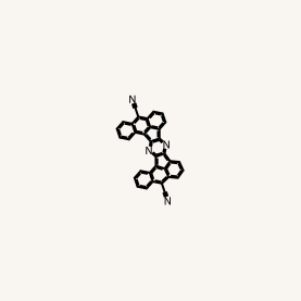 N#Cc1c2ccccc2c2c3nc4c(nc3c3cccc1c32)c1cccc2c(C#N)c3ccccc3c4c21